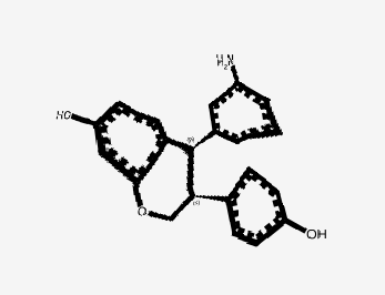 Nc1cccc([C@@H]2c3ccc(O)cc3OC[C@@H]2c2ccc(O)cc2)c1